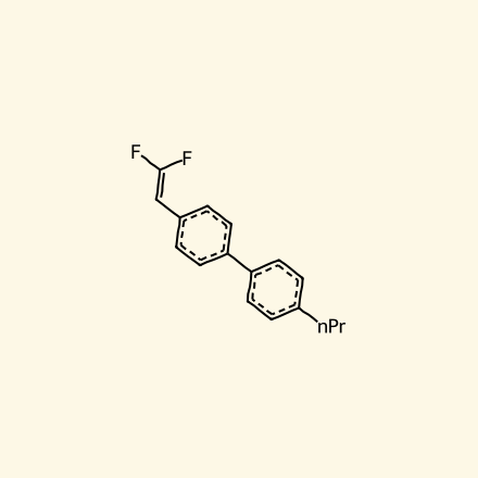 CCCc1ccc(-c2ccc(C=C(F)F)cc2)cc1